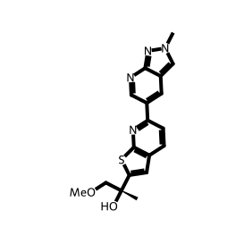 COC[C@@](C)(O)c1cc2ccc(-c3cnc4nn(C)cc4c3)nc2s1